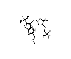 COCc1nn2c(CN3CC(=O)C(CCC(F)(F)F)C3)c(C(F)(F)F)nc2s1